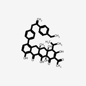 C=C(Cc1ccc(-c2ccc(O)c3c2C[C@]2(C)C[C@]4(C)C(C(C)C)C(O)=C(C(C)=O)C(=O)[C@]4(O)C(O)=C2C3=O)cc1)c1ccc(CC)cc1